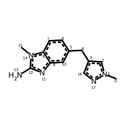 Cn1cc(Cc2ccc3c(c2)nc(N)n3C)cn1